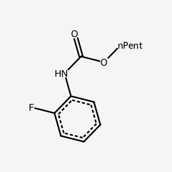 CCCCCOC(=O)Nc1ccccc1F